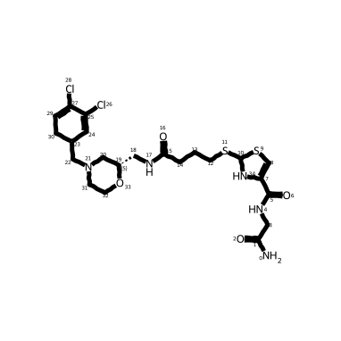 NC(=O)CNC(=O)C1=CSC(SCCCC(=O)NC[C@H]2CN(CC3C=C(Cl)C(Cl)=CC3)CCO2)N1